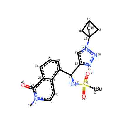 Cn1ccc2c([C@H](NS(=O)(=O)C(C)(C)C)c3cn(C45CC(C4)C5)nn3)cccc2c1=O